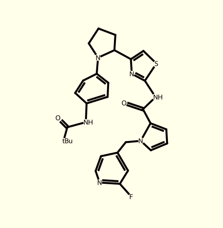 CC(C)(C)C(=O)Nc1ccc(N2CCCC2c2csc(NC(=O)c3cccn3Cc3ccnc(F)c3)n2)cc1